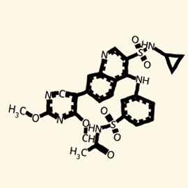 COc1ncc(-c2ccc3c(Nc4cccc(S(=O)(=O)NC(C)=O)c4)c(S(=O)(=O)NC4CC4)cnc3c2)c(OC)n1